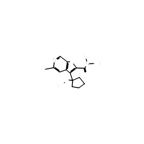 COC1(c2c(C(=O)N(C)C)sc3cnc(Cl)cc23)CCCC1